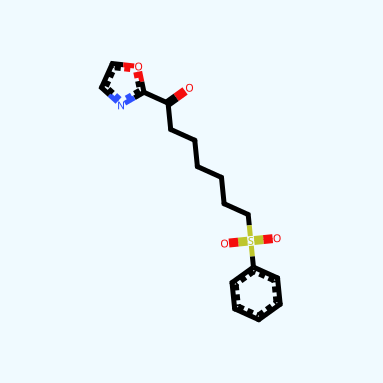 O=C(CCCCCCS(=O)(=O)c1ccccc1)c1ncco1